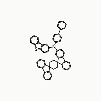 c1ccc(-c2ccc(N(c3ccc4c(c3)C3(CCC5(CC3)c3ccccc3-c3ccccc35)c3ccccc3-4)c3ccc4sc5ccccc5c4c3)cc2)cc1